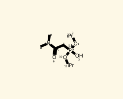 CC(C)O[PH](O)(CC(=O)N(C)C)OC(C)C